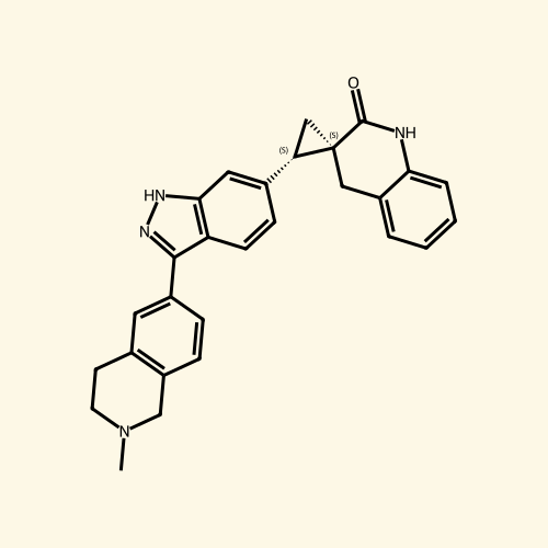 CN1CCc2cc(-c3n[nH]c4cc([C@@H]5C[C@]56Cc5ccccc5NC6=O)ccc34)ccc2C1